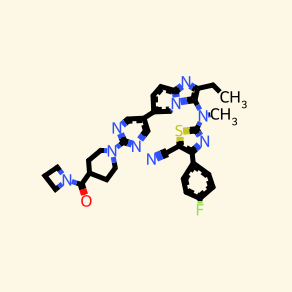 CCc1nc2ccc(-c3cnc(N4CCC(C(=O)N5CCC5)CC4)nc3)cn2c1N(C)c1nc(-c2ccc(F)cc2)c(C#N)s1